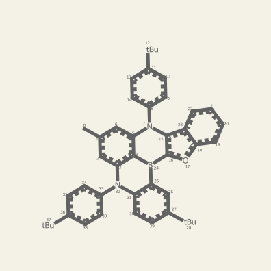 Cc1cc2c3c(c1)N(c1ccc(C(C)(C)C)cc1)c1c(oc4ccccc14)B3c1cc(C(C)(C)C)ccc1N2c1ccc(C(C)(C)C)cc1